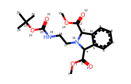 COC(=O)C1c2ccccc2C(C(=O)OC)N1CCNC(=O)OC(C)(C)C